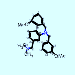 COc1cccc(CN(Cc2cccc(OC)c2)c2cccc(CN(C)C)c2)c1